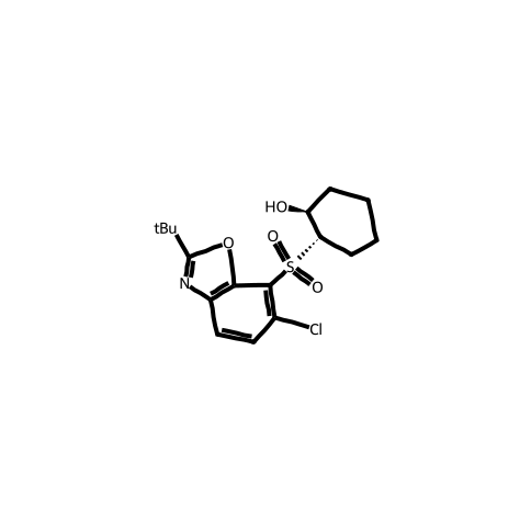 CC(C)(C)c1nc2ccc(Cl)c(S(=O)(=O)[C@H]3CCCC[C@@H]3O)c2o1